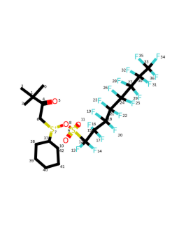 CC(C)(C)C(=O)C[S+](OS(=O)(=O)C(F)(F)C(F)(F)C(F)(F)C(F)(F)C(F)(F)C(F)(F)C(F)(F)C(F)(F)F)C1CCCCC1